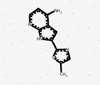 Cc1cnc(-c2cc3c(N)ccnc3[nH]2)s1